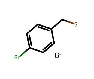 [Li+].[S-]Cc1ccc(Br)cc1